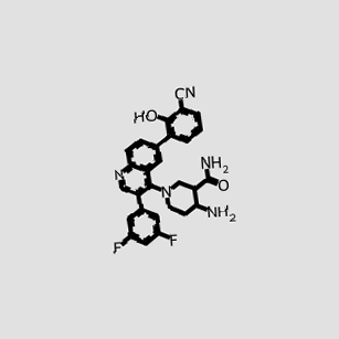 N#Cc1cccc(-c2ccc3ncc(-c4cc(F)cc(F)c4)c(N4CCC(N)C(C(N)=O)C4)c3c2)c1O